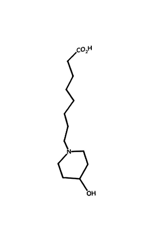 O=C(O)CCCCCCCN1CCC(O)CC1